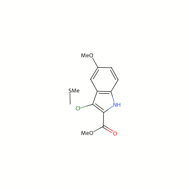 COC(=O)c1[nH]c2ccc(OC)cc2c1Cl.CSC